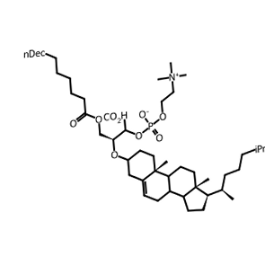 CCCCCCCCCCCCCCCC(=O)OC[C@H](OC1CC[C@@]2(C)C(=CCC3C2CC[C@@]2(C)C3CC[C@@H]2[C@H](C)CCCC(C)C)C1)C(OP(=O)([O-])OCC[N+](C)(C)C)C(=O)O